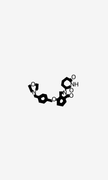 O=C1CCC[C@H](N2Cc3c(OCc4ccc(CN5CCOCC5)cc4)cccc3C2=O)C(=O)N1